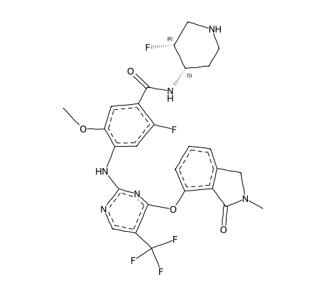 COc1cc(C(=O)N[C@H]2CCNC[C@H]2F)c(F)cc1Nc1ncc(C(F)(F)F)c(Oc2cccc3c2C(=O)N(C)C3)n1